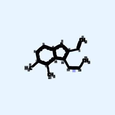 C=Cc1sc2ccc(C)c(C)c2c1/C=C\C